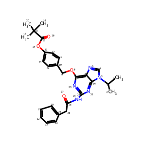 CC(C)n1cnc2c(OCc3ccc(OC(=O)C(C)(C)C)cc3)nc(NC(=O)Cc3ccccc3)nc21